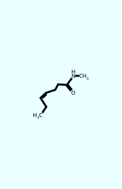 CC/C=C\CCC(=O)NC